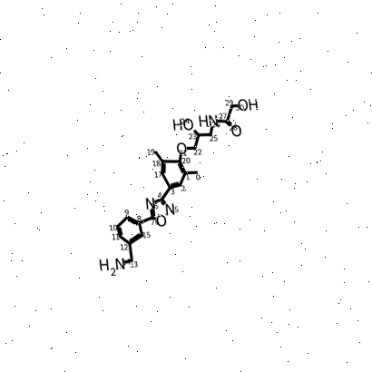 Cc1cc(-c2noc(-c3cccc(CN)c3)n2)cc(C)c1OCC(O)CNC(=O)CO